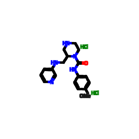 COc1ccc(NC(=O)N2CCNCC2CNc2cccnc2)cc1.Cl.Cl